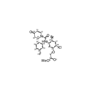 COC(=O)COc1cc(NC(=O)N2C=CC(=O)C[C@H]2c2ccc(F)cc2)c(Br)cc1Cl